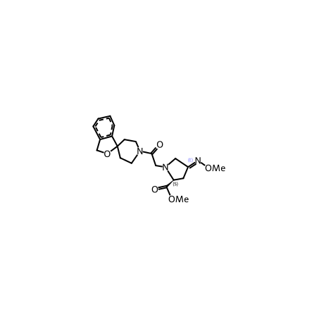 CO/N=C1\C[C@@H](C(=O)OC)N(CC(=O)N2CCC3(CC2)OCc2ccccc23)C1